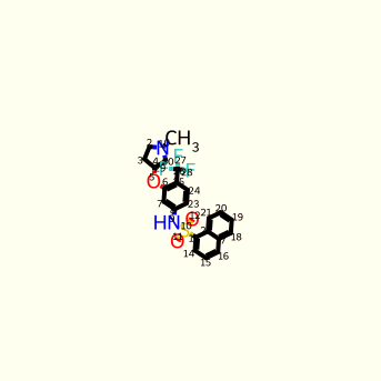 CN1CCC(Oc2cc(NS(=O)(=O)c3cccc4ccccc34)ccc2C(F)(F)F)C1